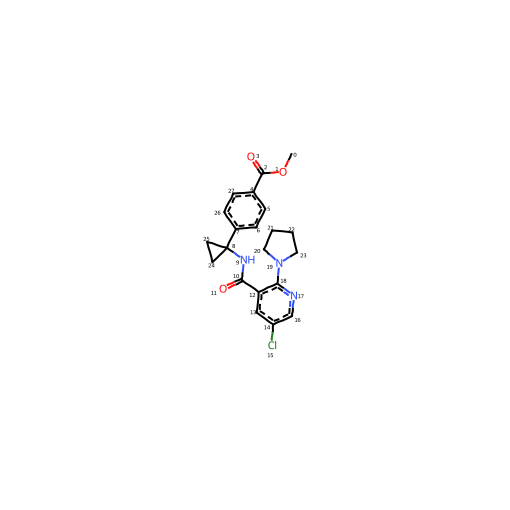 COC(=O)c1ccc(C2(NC(=O)c3cc(Cl)cnc3N3CCCC3)CC2)cc1